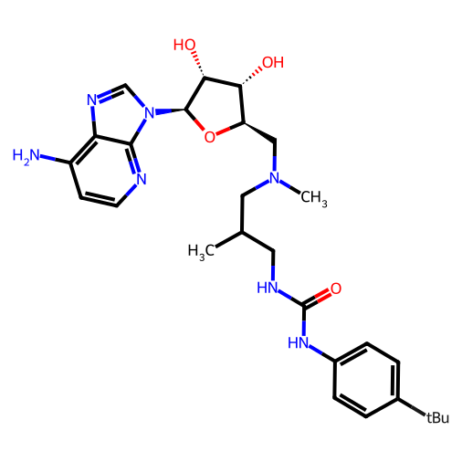 CC(CNC(=O)Nc1ccc(C(C)(C)C)cc1)CN(C)C[C@H]1O[C@@H](n2cnc3c(N)ccnc32)[C@H](O)[C@@H]1O